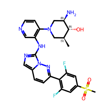 C[C@H]1CN(c2ccncc2Nc2ncc3ccc(-c4c(F)cc(S(C)(=O)=O)cc4F)nn23)C[C@@H](N)[C@@H]1O